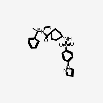 C[C@H](c1ccccc1)N1CC[C@]2(CC[C@@H](NS(=O)(=O)c3ccc(-n4cccn4)cc3)CC2)C1=O